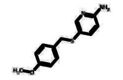 COc1ccc(CSc2ccc(N)nc2)cc1